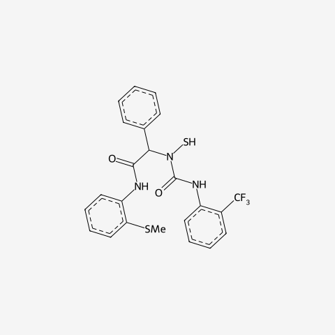 CSc1ccccc1NC(=O)C(c1ccccc1)N(S)C(=O)Nc1ccccc1C(F)(F)F